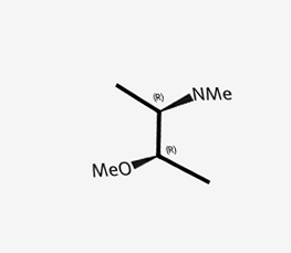 CN[C@H](C)[C@@H](C)OC